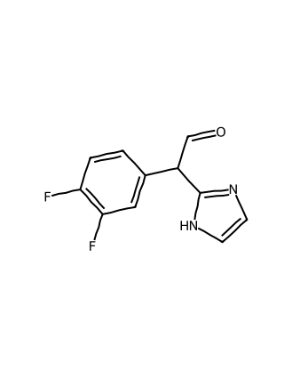 O=CC(c1ccc(F)c(F)c1)c1ncc[nH]1